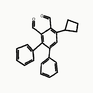 O=Cc1c(C2CCC2)cc(-c2ccccc2)c(-c2ccccc2)c1C=O